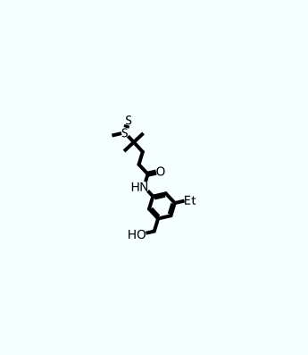 CCc1cc(CO)cc(NC(=O)CCC(C)(C)S(C)=S)c1